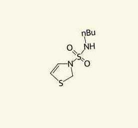 CCCCNS(=O)(=O)N1C=CSC1